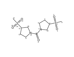 CS(=O)(=O)C1CCN(C(=O)N2CCC(S(C)(=O)=O)C2)C1